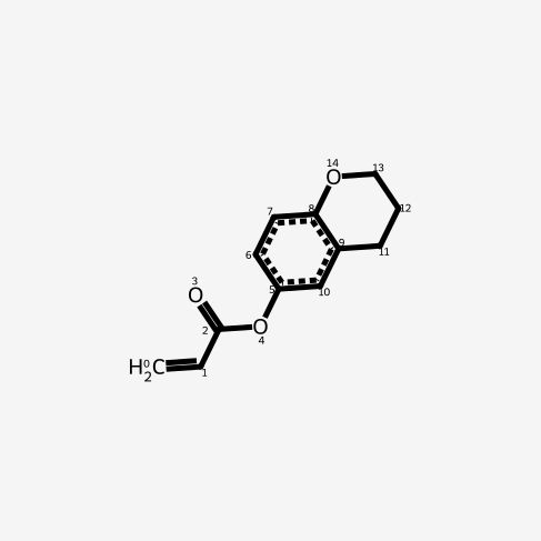 C=CC(=O)Oc1ccc2c(c1)CCCO2